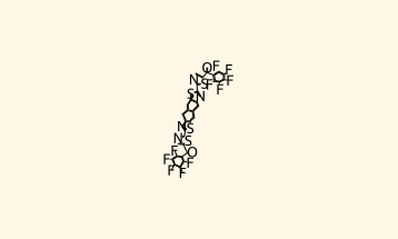 O=C(c1cnc(-c2nc3cc4cc5sc(-c6ncc(C(=O)c7c(F)c(F)c(F)c(F)c7F)s6)nc5cc4cc3s2)s1)c1c(F)c(F)c(F)c(F)c1F